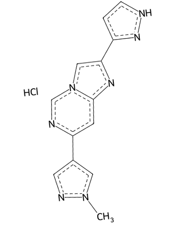 Cl.Cn1cc(-c2cc3nc(-c4cc[nH]n4)cn3cn2)cn1